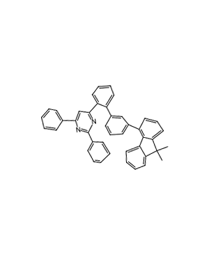 CC1(C)c2ccccc2-c2c(-c3cccc(-c4ccccc4-c4cc(-c5ccccc5)nc(-c5ccccc5)n4)c3)cccc21